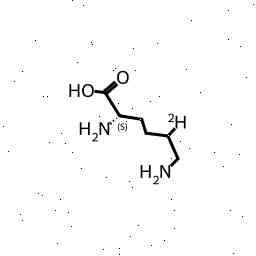 [2H]C(CN)CC[C@H](N)C(=O)O